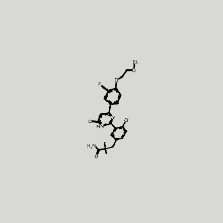 CCOCCOc1ccc(-c2cc(=O)[nH]c(-c3cc(CC(C)(C)C(N)=O)ccc3Cl)n2)cc1F